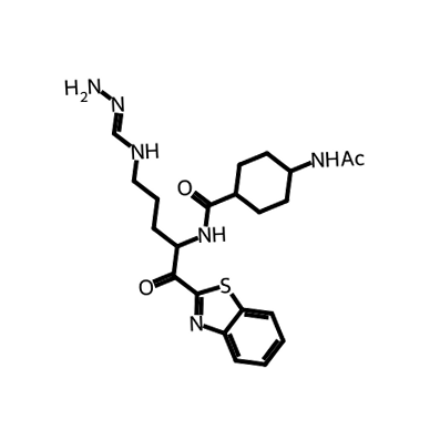 CC(=O)NC1CCC(C(=O)NC(CCCNC=NN)C(=O)c2nc3ccccc3s2)CC1